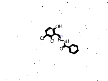 O=C(N/N=C/c1c(O)ccc(Cl)c1Cl)c1ccccc1